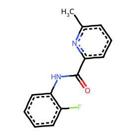 Cc1cccc(C(=O)Nc2ccccc2F)n1